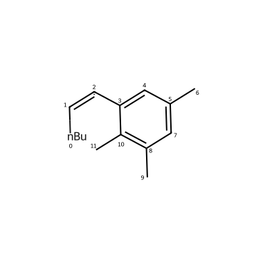 CCCC/C=[C]\c1cc(C)cc(C)c1C